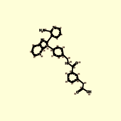 Nc1ncccc1-c1nc2cccnc2n1-c1ccc(CNC(=O)c2cccc(CC(=O)O)c2)cc1